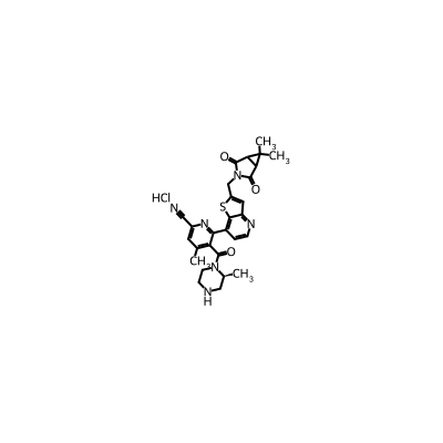 Cc1cc(C#N)nc(-c2ccnc3cc(CN4C(=O)C5C(C4=O)C5(C)C)sc23)c1C(=O)N1CCNC[C@@H]1C.Cl